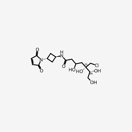 O=C(CC(O)C[C@@](O)(CCl)[C@H](O)CO)N[C@H]1C[C@H](N2C(=O)C=CC2=O)C1